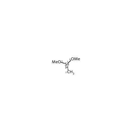 C[O][SnH]([CH3])[O]C